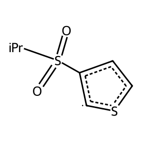 CC(C)S(=O)(=O)c1[c]scc1